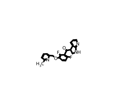 Cc1cccc(COc2ccc(F)c(C(=O)C3CNc4ncccc43)c2F)n1